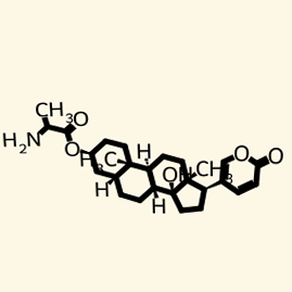 CC(N)C(=O)O[C@H]1CC[C@@]2(C)[C@H](CC[C@@H]3[C@@H]2CC[C@]2(C)[C@@H](c4ccc(=O)oc4)CC[C@]32O)C1